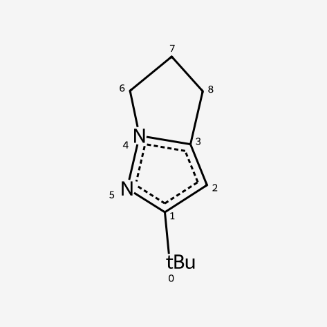 CC(C)(C)c1cc2n(n1)CCC2